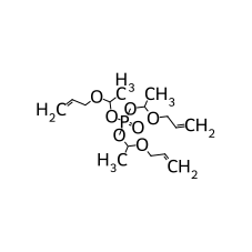 C=CCOC(C)OP(=O)(OC(C)OCC=C)OC(C)OCC=C